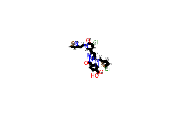 O=C(O)c1ccc(C(=O)n2nc(-c3cc(Cl)c(=O)n(CCc4ccsn4)c3)cc2NCc2ccc(Cl)s2)cc1